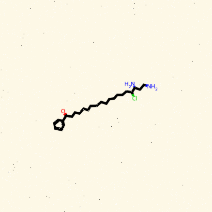 NCCC(N)C(Cl)CCCCCCCCCCCCCCC(=O)c1ccccc1